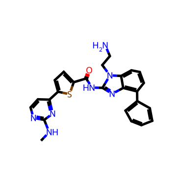 CNc1nccc(-c2ccc(C(=O)Nc3nc4c(-c5ccccc5)cccc4n3CCN)s2)n1